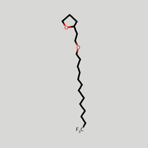 FC(F)(F)CCCCCCCCCCCCOCCC1CCCO1